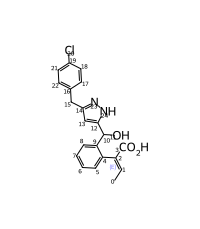 C/C=C(/C(=O)O)c1ccccc1C(O)c1cc(Cc2ccc(Cl)cc2)n[nH]1